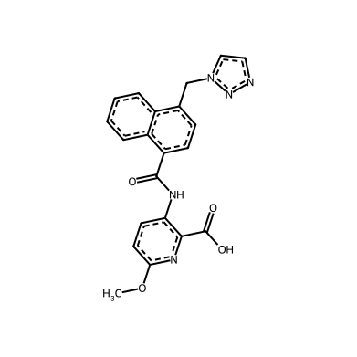 COc1ccc(NC(=O)c2ccc(Cn3ccnn3)c3ccccc23)c(C(=O)O)n1